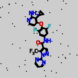 Nc1nccc(Oc2c(F)cc(NC(=O)c3cnn(-c4ncccn4)c3C(F)(F)F)cc2F)c1C1CC1